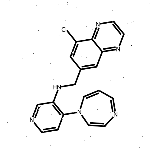 Clc1cc(CNc2cnccc2N2C=CC=NC=C2)cc2nccnc12